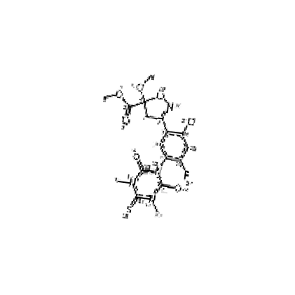 COC(=O)C1(OC)CC(c2cc(-n3c(=O)n(C)c(=S)n(C)c3=O)c(F)cc2Cl)=NO1